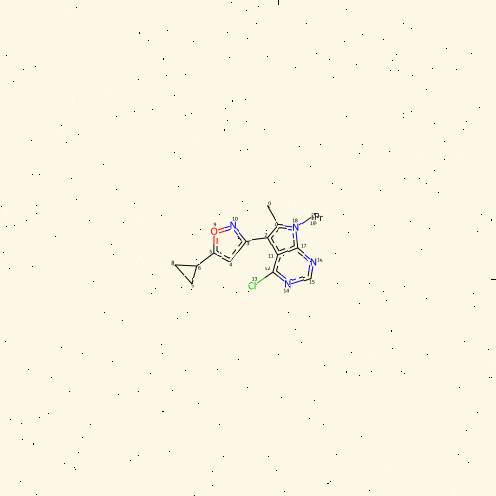 Cc1c(-c2cc(C3CC3)on2)c2c(Cl)ncnc2n1C(C)C